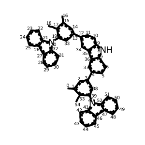 Cc1cc(-c2ccc3[nH]c4ccc(-c5cc(C)c(C)c(-n6c7ccccc7c7ccccc76)c5)cc4c3c2)cc(-n2c3ccccc3c3ccccc32)c1C